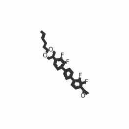 C/C=C/CCC1OCC(c2ccc(-c3ccc(-c4ccc(C5CO5)c(F)c4F)cc3)c(F)c2F)CO1